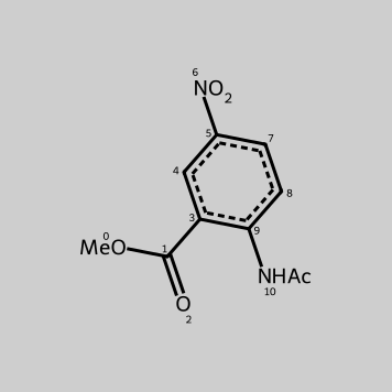 COC(=O)c1cc([N+](=O)[O-])ccc1NC(C)=O